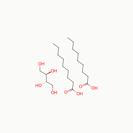 CCCCCCCCC(=O)O.CCCCCCCCC(=O)O.OC[C@@H](O)[C@@H](O)CO